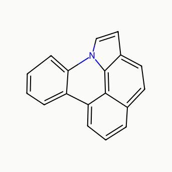 c1cc2ccc3ccn4c5ccccc5c(c1)c2c34